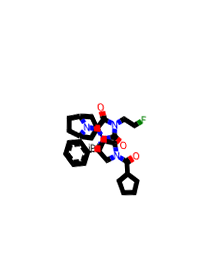 CC(C)N1C(=O)N(CCF)C(=O)C12CC1CCC(C2)N1C[C@H]1CN(C(=O)C2CCCC2)C[C@@H]1c1ccccc1